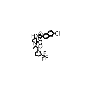 CC(C(=O)N1CCCC(C(F)(F)F)C1)N1CC[C@H](NS(=O)(=O)c2ccc3cc(Cl)ccc3c2)C1=O